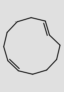 [CH]1C/C=C/CCCC/C=C\CC1